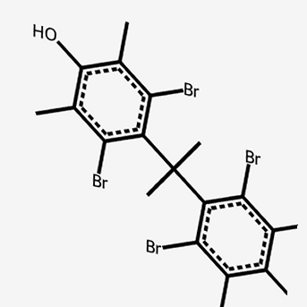 Cc1c(O)c(C)c(Br)c(C(C)(C)c2c(Br)c(C)c(O)c(C)c2Br)c1Br